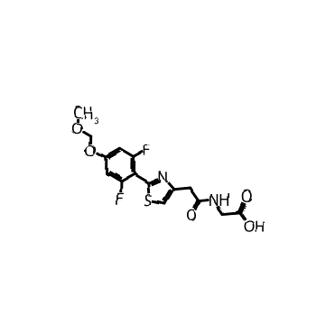 COCOc1cc(F)c(-c2nc(CC(=O)NCC(=O)O)cs2)c(F)c1